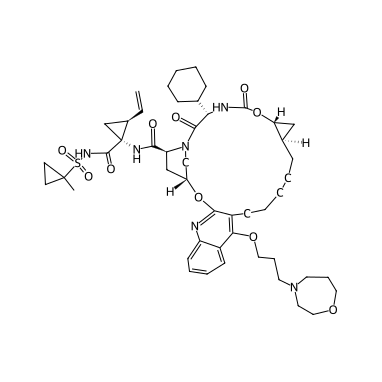 C=C[C@@H]1C[C@]1(NC(=O)[C@@H]1C[C@@H]2CN1C(=O)[C@H](C1CCCCC1)NC(=O)O[C@@H]1C[C@H]1CCCCCc1c(nc3ccccc3c1OCCCN1CCCOCC1)O2)C(=O)NS(=O)(=O)C1(C)CC1